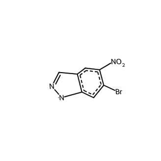 O=[N+]([O-])c1cc2c(cc1Br)[N]N=C2